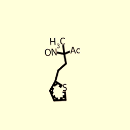 CC(=O)C(C)(CCc1cccs1)N=O